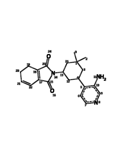 CC1(C)CC(c2ccncc2N)CC(N2C(=O)C3=C(CCC=C3)C2=O)C1